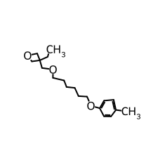 CCC1(COCCCCCCOc2ccc(C)cc2)COC1